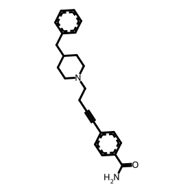 NC(=O)c1ccc(C#CCCN2CCC(Cc3ccccc3)CC2)cc1